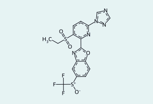 CCS(=O)(=O)c1ccc(-n2cncn2)nc1-c1nc2cc([S+]([O-])C(F)(F)F)ccc2o1